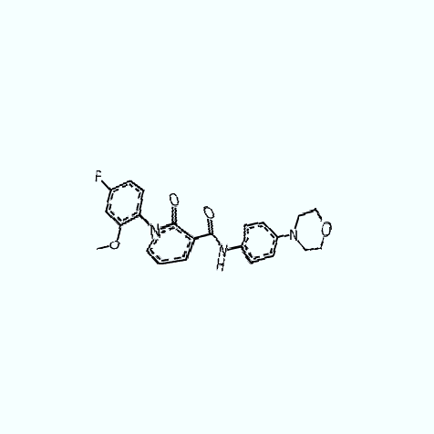 COc1cc(F)ccc1-n1cccc(C(=O)Nc2ccc(N3CCOCC3)cc2)c1=O